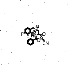 N#CCNC(=O)C(CS(=O)(=O)Cc1ccc(F)c(F)c1F)NC(=O)c1ccccc1